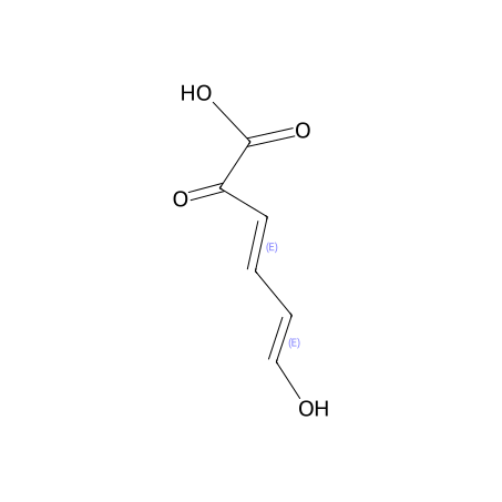 O=C(O)C(=O)/C=C/C=C/O